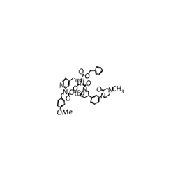 COc1ccc(CN(C(=O)OC(C)(C)C)c2cc(C[C@H]3C(=O)N(C(=O)N4CCCC(c5cccc(N6CCN(C)CC6=O)c5)C4)[C@@H]3C(=O)OCc3ccccc3)ccn2)cc1